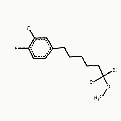 CCC(CC)(CCCCCc1ccc(F)c(F)c1)O[SiH3]